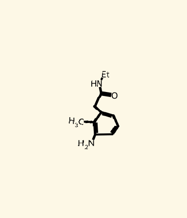 CCNC(=O)Cc1cccc(N)c1C